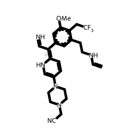 C=CNCCc1cc(/C(C=N)=C2\C=CC(N3CCN(CC#N)CC3)=CN2)cc(OC)c1CC(F)(F)F